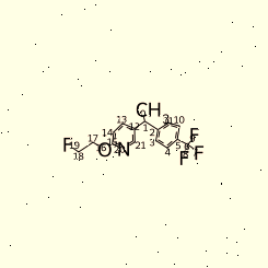 CC(c1ccc(C(F)(F)F)cc1)c1ccc(OCCF)nc1